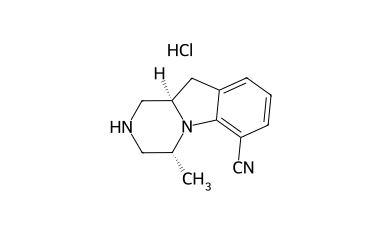 C[C@@H]1CNC[C@H]2Cc3cccc(C#N)c3N21.Cl